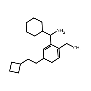 CCC1=CCC(CCC2CCC2)C=C1C(N)C1CCCCC1